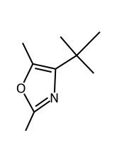 Cc1nc(C(C)(C)C)c(C)o1